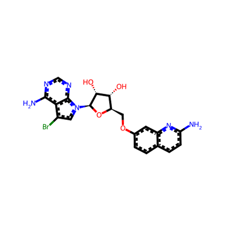 Nc1ccc2ccc(OC[C@H]3O[C@@H](n4cc(Br)c5c(N)ncnc54)[C@H](O)[C@@H]3O)cc2n1